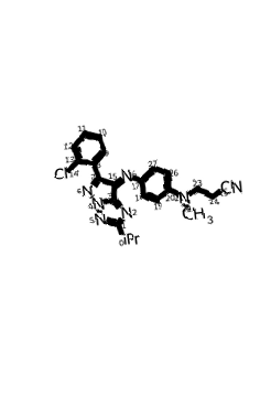 CC(C)c1nc2n(n1)N=C(c1ccccc1Cl)/C2=N/c1ccc(N(C)CCC#N)cc1